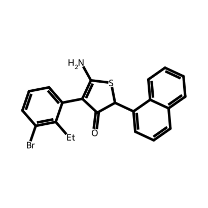 CCc1c(Br)cccc1C1=C(N)SC(c2cccc3ccccc23)C1=O